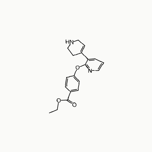 CCOC(=O)c1ccc(Oc2ncccc2C2=CCNCC2)cc1